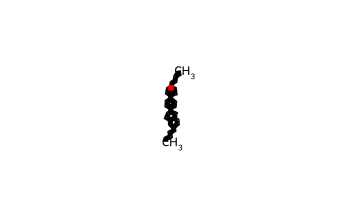 CC=CCCc1ccc(-c2ccc(C3CCC4CC(CCCCC)CCC4C3)cc2)cc1